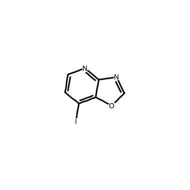 Ic1ccnc2ncoc12